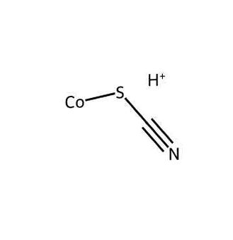 N#C[S][Co].[H+]